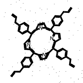 C=CCc1ccc(-c2c3nc(c(-c4ccc(CC=C)cc4)c4ccc([nH]4)c(-c4ccc(CC=C)cc4)c4nc(c(-c5ccc(CC=C)cc5)c5ccc2[nH]5)C=C4)C=C3)cc1